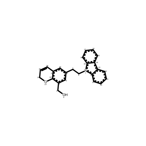 OCc1cc(CCn2c3ccccc3c3ccccc32)cc2c1OCC=C2